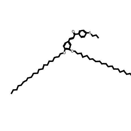 CCCCCCCCCCCCCCCCCCCCOc1ccc(C=CC(=O)c2ccc(SCCC)cc2)cc1OCCCCCCCCCCCCCCCCCCCC